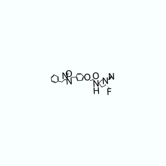 N#CN1C[C@H](NC(=O)COc2ccc(-c3nc(Cc4ccccc4)no3)cc2)C[C@H]1CF